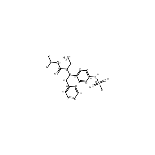 CC(C)OC(=O)C(CN)C(Cc1ccccc1)c1ccc(OS(C)(=O)=O)cc1